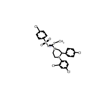 CS/C(=N\S(=O)(=O)c1ccc(Cl)cc1)N1CCN(c2ccc(Cl)cc2Cl)C(c2ccc(Cl)cc2)C1